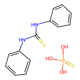 OP(O)(O)=S.S=C(Nc1ccccc1)Nc1ccccc1